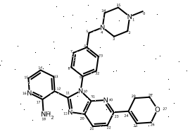 CN1CCN(Cc2ccc(-n3c(-c4cccnc4N)nc4ccc(C5=CCOCC5)nc43)cc2)CC1